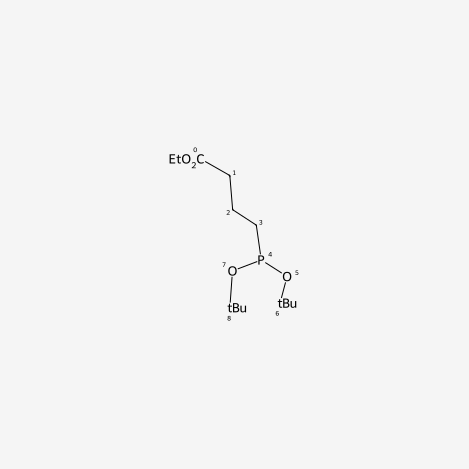 CCOC(=O)CCCP(OC(C)(C)C)OC(C)(C)C